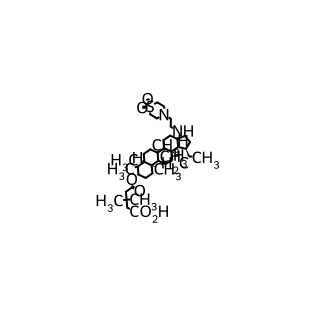 C=C(C)[C@@H]1CC[C@]2(NCCN3CCS(=O)(=O)CC3)CC[C@]3(C)[C@H](CCC4[C@@]5(C)CC[C@H](OC(=O)CC(C)(C)CC(=O)O)C(C)(C)[C@@H]5CC[C@]43C)[C@@H]12